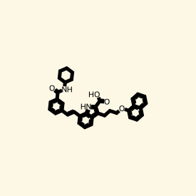 O=C(NC1CCCCC1)c1cccc(C=Cc2cccc3c(CCCOc4cccc5ccccc45)c(C(=O)O)[nH]c23)c1